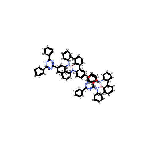 c1ccc(-c2nc(-c3ccccc3)nc(-c3cccc(N4B5c6c(cccc6-c6cc(-c7ccc(N8B9c%10c(cccc%10-c%10ccccc%10N9c9nc(-c%10ccccc%10)nc%10ccccc9%10)-c9ccccc98)cc7)ccc6N5c5ccccc5)-c5ccccc54)c3)n2)cc1